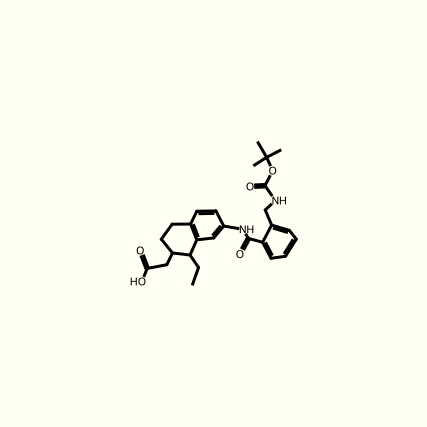 CCC1c2cc(NC(=O)c3ccccc3CNC(=O)OC(C)(C)C)ccc2CCC1CC(=O)O